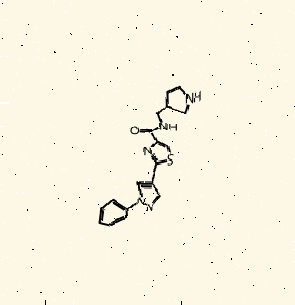 O=C(NC[C@H]1CCNC1)c1csc(-c2cnn(-c3ccccc3)c2)n1